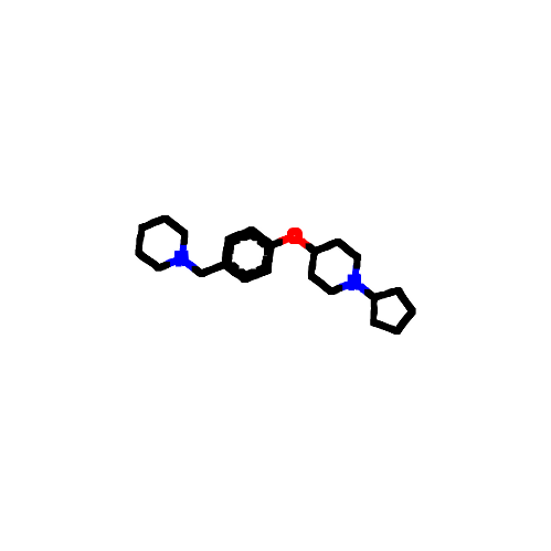 c1cc(OC2CCN(C3CCCC3)CC2)ccc1CN1CCCCC1